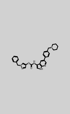 O=C(Nc1c[nH]c2ncc(-c3ccc(CN4CCCCC4)cc3)cc12)Oc1cnn(Cc2ccccc2)c1